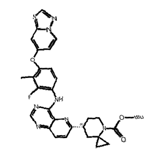 Cc1c(Oc2ccn3ncnc3c2)ccc(Nc2ncnc3ccc([C@@H]4CCN(C(=O)OC(C)(C)C)C5(CC5)C4)nc23)c1F